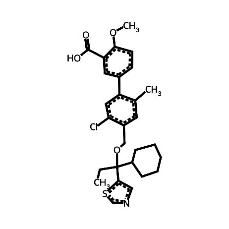 CCC(OCc1cc(C)c(-c2ccc(OC)c(C(=O)O)c2)cc1Cl)(c1cncs1)C1CCCCC1